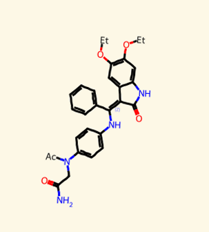 CCOc1cc2c(cc1OCC)/C(=C(/Nc1ccc(N(CC(N)=O)C(C)=O)cc1)c1ccccc1)C(=O)N2